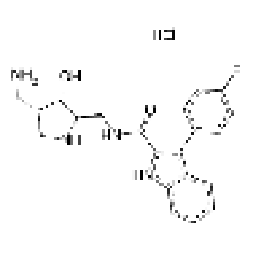 Cl.NC[C@H]1CN[C@H](CNC(=O)c2[nH]c3ccccc3c2-c2ccc(F)cc2)[C@H]1O